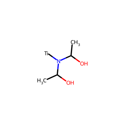 CC(O)[N]([Ti])C(C)O